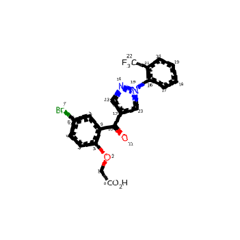 O=C(O)COc1ccc(Br)cc1C(=O)c1cnn(-c2ccccc2C(F)(F)F)c1